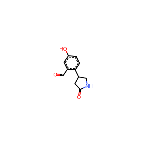 O=Cc1cc(O)ccc1C1CNC(=O)C1